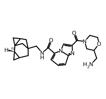 NCC1CN(C(=O)c2cn3c(C(=O)NCC45CC6C[C@@H]6C6(CC6C4)C5)cccc3n2)CCO1